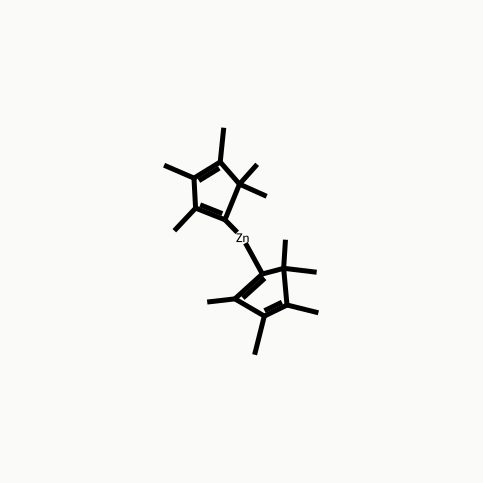 CC1=C(C)C(C)(C)[C]([Zn][C]2=C(C)C(C)=C(C)C2(C)C)=C1C